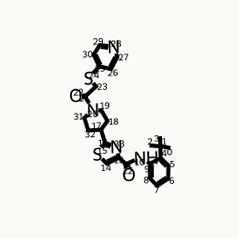 CC(C)(C)c1ccccc1NC(=O)c1csc(C2CCN(C(=O)CSc3ccncc3)CC2)n1